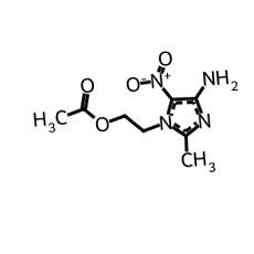 CC(=O)OCCn1c(C)nc(N)c1[N+](=O)[O-]